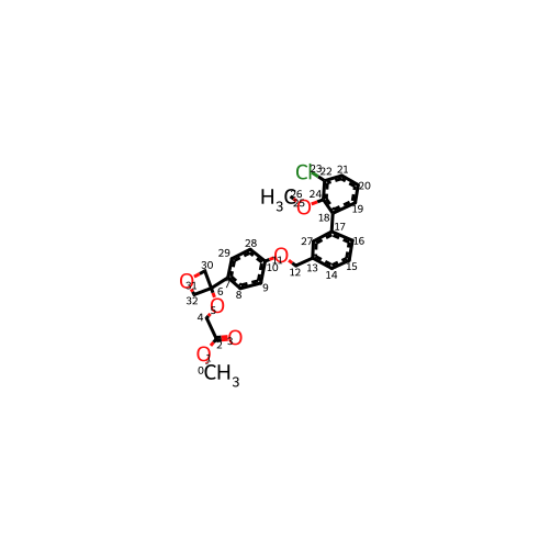 COC(=O)COC1(c2ccc(OCc3cccc(-c4cccc(Cl)c4OC)c3)cc2)COC1